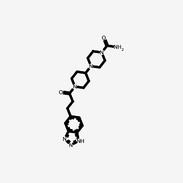 NC(=O)N1CCN(C2CCN(C(=O)[CH]Cc3ccc4[nH]nnc4c3)CC2)CC1